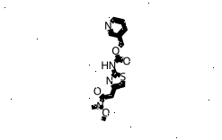 CON(C)C(=O)Cc1csc(NC(=O)OCc2cccnc2)n1